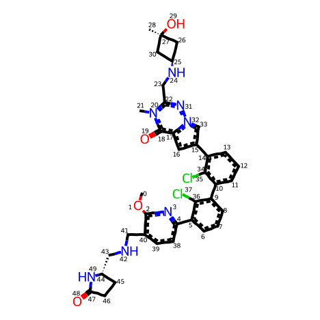 COc1nc(-c2cccc(-c3cccc(-c4cc5c(=O)n(C)c(CN[C@H]6C[C@](C)(O)C6)nn5c4)c3Cl)c2Cl)ccc1CNC[C@@H]1CCC(=O)N1